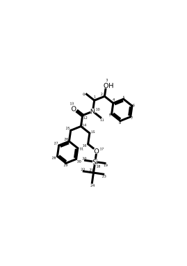 CC(C(O)c1ccccc1)N(C)C(=O)C(CCO[Si](C)(C)C(C)(C)C)Cc1ccccc1